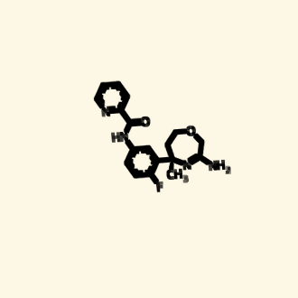 C[C@@]1(c2cc(NC(=O)c3ccccn3)ccc2F)CCOCC(N)=N1